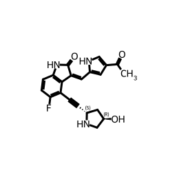 CC(=O)c1c[nH]c(C=C2C(=O)Nc3ccc(F)c(C#C[C@@H]4C[C@@H](O)CN4)c32)c1